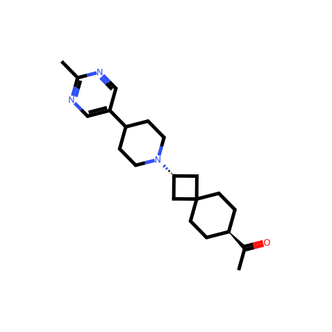 Cc1ncc(C2CCN([C@H]3CC4(CC[C@H](C(C)=O)CC4)C3)CC2)cn1